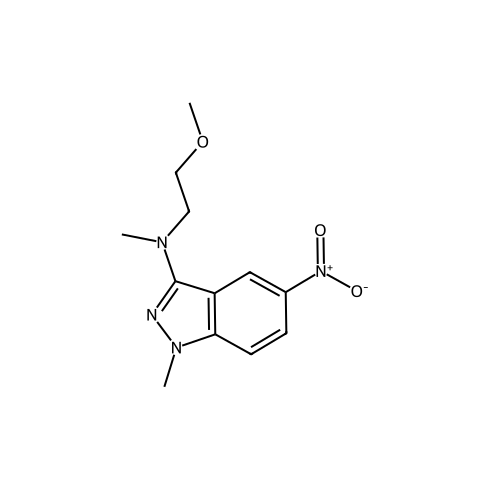 COCCN(C)c1nn(C)c2ccc([N+](=O)[O-])cc12